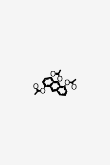 CC(=O)Oc1cccc2c(OC(C)=O)c3c(OC(C)=O)cccc3cc12